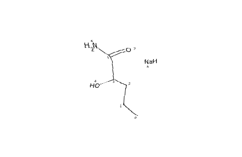 CCCC(O)C(N)=O.[NaH]